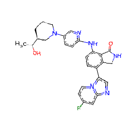 C[C@@H](O)[C@H]1CCCN(c2ccc(Nc3ccc(-c4cnc5cc(F)ccn45)c4c3C(=O)NC4)nc2)C1